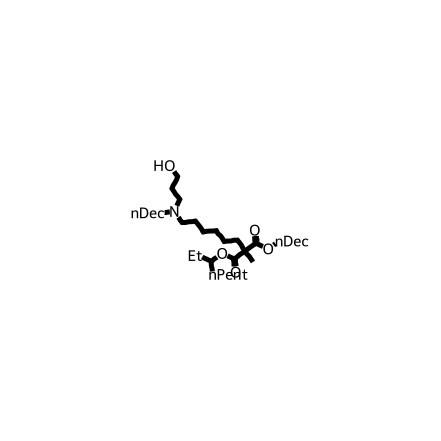 CCCCCCCCCCOC(=O)C(C)(CCCCCCN(CCCO)CCCCCCCCCC)C(=O)OC(CC)CCCCC